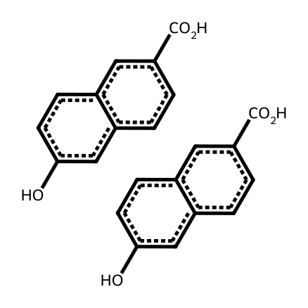 O=C(O)c1ccc2cc(O)ccc2c1.O=C(O)c1ccc2cc(O)ccc2c1